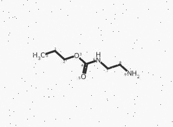 CCCOC(=O)NCCN